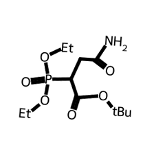 CCOP(=O)(OCC)C(CC(N)=O)C(=O)OC(C)(C)C